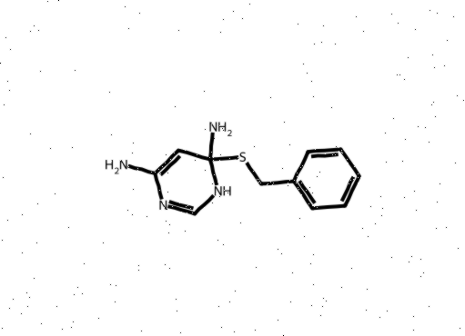 NC1=CC(N)(SCc2ccccc2)NC=N1